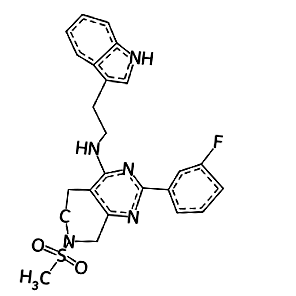 CS(=O)(=O)N1CCc2c(nc(-c3cccc(F)c3)nc2NCCc2c[nH]c3ccccc23)C1